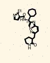 CCn1nccc1C(=O)N[C@H](c1cn2nc(CC3CCCNC3=O)ccc2n1)C1CCCCCC1